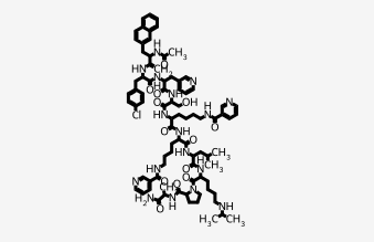 C=C(NC(Cc1ccc(Cl)cc1)C(=O)NC(Cc1cccnc1)C(=O)NC(CO)C(=O)NC(CCCCNC(=O)c1cccnc1)C(=O)NC(CCCCNC(=O)c1cccnc1)C(=O)NC(CC(C)C)C(=O)NC(CCCCNC(C)C)C(=O)N1CCCC1C(=O)NC(C)C(N)=O)C(Cc1ccc2ccccc2c1)NC(C)=O